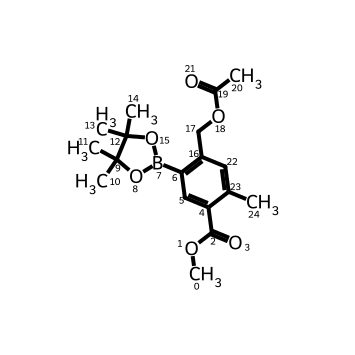 COC(=O)c1cc(B2OC(C)(C)C(C)(C)O2)c(COC(C)=O)cc1C